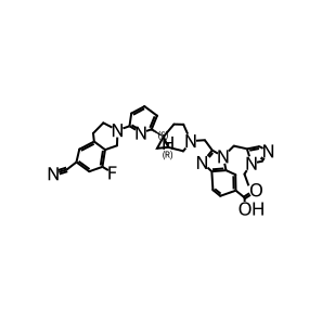 CCn1cncc1Cn1c(CN2CC[C@@]3(c4cccc(N5CCc6cc(C#N)cc(F)c6C5)n4)C[C@H]3C2)nc2ccc(C(=O)O)cc21